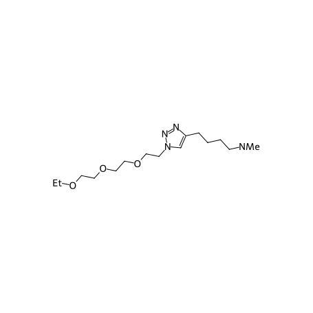 CCOCCOCCOCCn1cc(CCCCNC)nn1